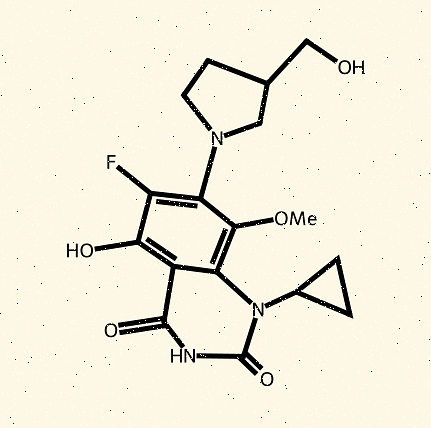 COc1c(N2CCC(CO)C2)c(F)c(O)c2c(=O)[nH]c(=O)n(C3CC3)c12